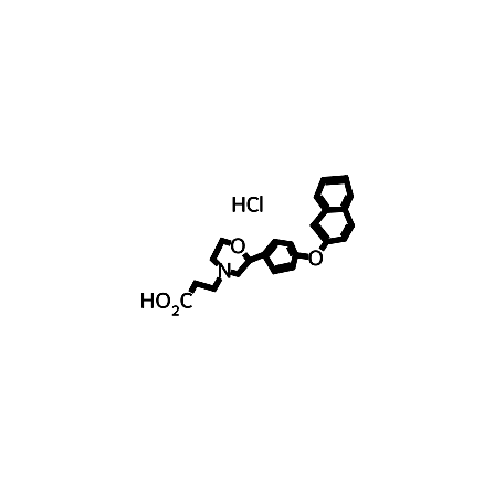 Cl.O=C(O)CCN1CCOC(c2ccc(Oc3ccc4ccccc4c3)cc2)C1